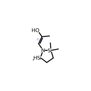 C/C(O)=C\N1[SiH](C)CC[Si]1(C)C